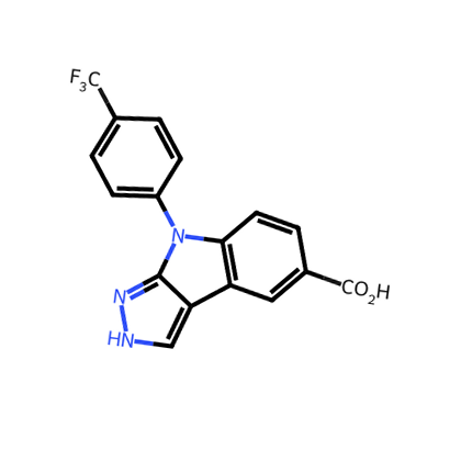 O=C(O)c1ccc2c(c1)c1c[nH]nc1n2-c1ccc(C(F)(F)F)cc1